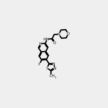 Cc1nnc(-c2cc3cc(NC(=O)CN4CCOCC4)ncc3cc2F)s1